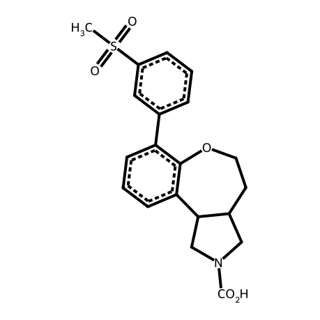 CS(=O)(=O)c1cccc(-c2cccc3c2OCCC2CN(C(=O)O)CC32)c1